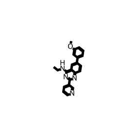 CCNc1nc(-c2cccnc2)nc2ccc(-c3cccc(OC)c3)cc12